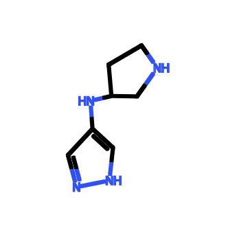 c1n[nH]cc1NC1CCNC1